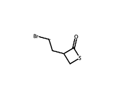 O=C1SCC1C[CH]Br